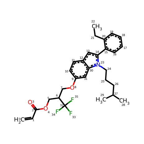 C=CC(=O)OCC(COc1ccc2cc(-c3ccccc3CC)n(CCCC(C)C)c2c1)C(F)(F)F